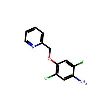 Nc1cc(Cl)c(OCc2ccccn2)cc1F